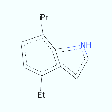 CCc1ccc(C(C)C)c2[nH]ccc12